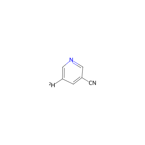 [2H]c1cncc(C#N)c1